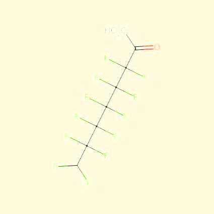 O=C(O)C(=O)C(F)(F)C(F)(F)C(F)(F)C(F)(F)C(F)(F)C(F)F